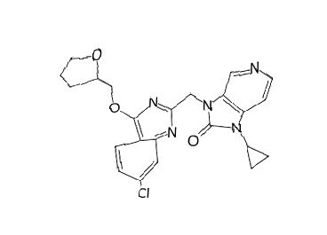 O=c1n(Cc2nc(OCC3CCCO3)c3ccc(Cl)cc3n2)c2cnccc2n1C1CC1